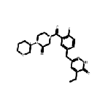 CCc1cc(Cc2ccc(F)c(C(=O)N3CCN([C@@H]4CCCOC4)C(=O)C3)c2)n[nH]c1=O